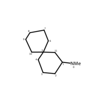 CNC1CCCC2(CCCCC2)C1